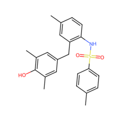 Cc1ccc(S(=O)(=O)Nc2ccc(C)cc2Cc2cc(C)c(O)c(C)c2)cc1